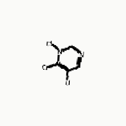 ClC1=C(Cl)N(Cl)CN=C1